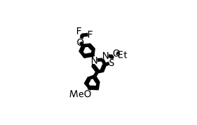 CCOC1N=C2C(=CC(c3ccc(OC)cc3)=CN2c2ccc(OC(F)F)cc2)S1